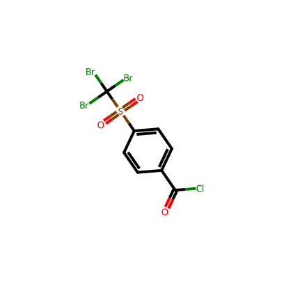 O=C(Cl)c1ccc(S(=O)(=O)C(Br)(Br)Br)cc1